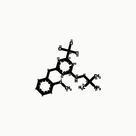 COc1ccccc1Cc1nc(NCC(C)(C)N)nc(C(Cl)(Cl)Cl)n1